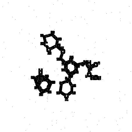 CC(C)(C)OC(=O)Nc1cc(N2CCOCC2)cc(COC2CCCCO2)n1.c1cc2cc(c1)NC2